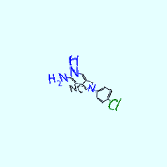 N#CC1=C(N)NC=C2CN(c3ccc(Cl)cc3)C=C21